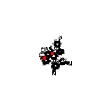 C=NC1=C(/C=C\C)C2(c3ccccc3Oc3c(-n4c5ccc(C#N)cc5c5cc(C#N)ncc54)cccc32)c2cc(-n3c4ccccc4c4cc(C#N)ccc43)cnc21